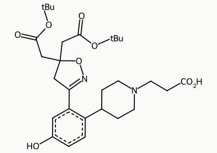 CC(C)(C)OC(=O)CC1(CC(=O)OC(C)(C)C)CC(c2cc(O)ccc2C2CCN(CCC(=O)O)CC2)=NO1